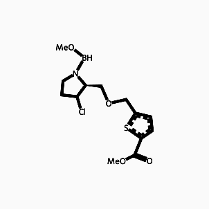 COBN1CCC(Cl)[C@@H]1COCc1ccc(C(=O)OC)s1